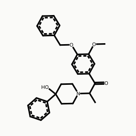 COc1cc(C(=O)C(C)N2CCC(O)(c3ccccc3)CC2)ccc1OCc1ccccc1